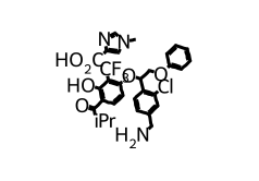 CC(C)C(=O)c1ccc(OC(COc2ccccc2)c2ccc(CN)cc2Cl)c(C(F)(F)F)c1O.Cn1cnc(C(=O)O)c1